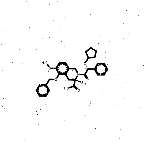 COc1ccc2c(c1OCc1ccccc1)C[C@@](C)(C(=O)O)N(C(=O)[C@H](OC1CCCC1)c1ccccc1)C2